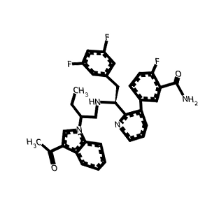 CCC(CN[C@@H](Cc1cc(F)cc(F)c1)c1ncccc1-c1ccc(F)c(C(N)=O)c1)n1cc(C(C)=O)c2ccccc21